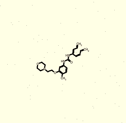 C=C/C=C\C(=C/C=C)NC(=O)Nc1ccc(C)c(OCCN2CCOCC2)c1